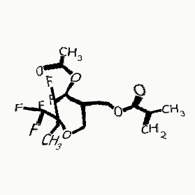 C=C(C)C(=O)OCC1COC(C)(C(F)(F)F)C(F)(F)C1OC(C)=O